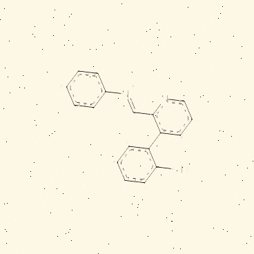 Oc1ccccc1-c1cccnc1C=Nc1ccccc1